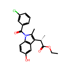 CCOC(=O)[C@@H](C)c1c(C)n(C(=O)c2cccc(Cl)c2)c2ccc(O)cc12